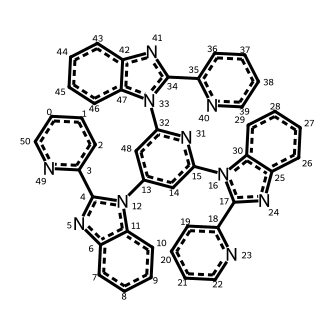 c1ccc(-c2nc3ccccc3n2-c2cc(-n3c(-c4ccccn4)nc4ccccc43)nc(-n3c(-c4ccccn4)nc4ccccc43)c2)nc1